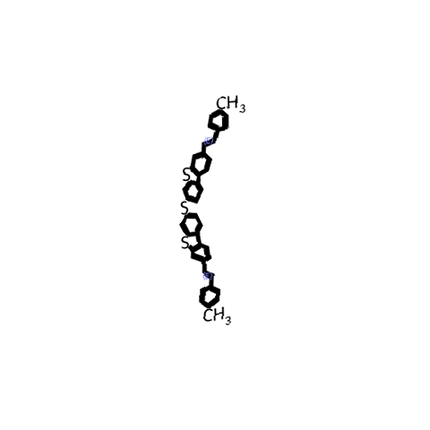 Cc1ccc(/C=C/c2ccc3c(c2)sc2cc(Sc4ccc5c(c4)sc4cc(/C=C/c6ccc(C)cc6)ccc45)ccc23)cc1